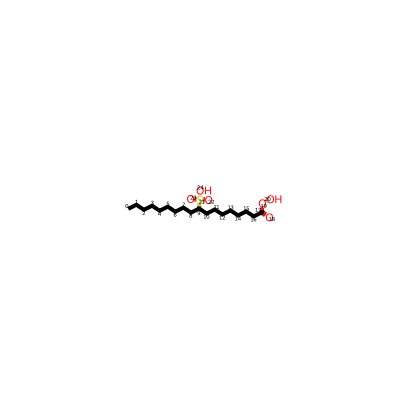 CCCCCCCCCC(CCCCCCCC(=O)OO)S(=O)(=O)O